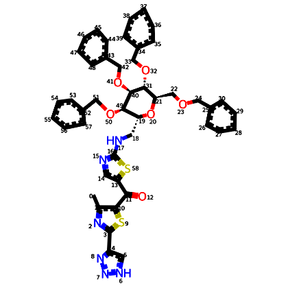 Cc1nc(-c2c[nH]nn2)sc1C(=O)c1cnc(NC[C@H]2O[C@H](COCc3ccccc3)[C@@H](OCc3ccccc3)[C@H](OCc3ccccc3)[C@@H]2OCc2ccccc2)s1